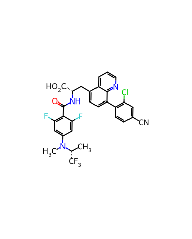 C[C@@H](N(C)c1cc(F)c(C(=O)N[C@@H](Cc2ccc(-c3ccc(C#N)cc3Cl)c3ncccc23)C(=O)O)c(F)c1)C(F)(F)F